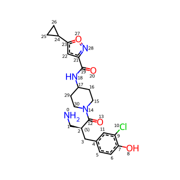 NC[C@H](Cc1ccc(O)c(Cl)c1)C(=O)N1CCC(NC(=O)c2cc(C3CC3)on2)CC1